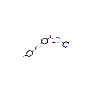 O=C(c1ccc(S(=O)(=O)/C=C/c2ccc(Cl)cc2)cc1)N1CCN(c2ccncc2)CC1